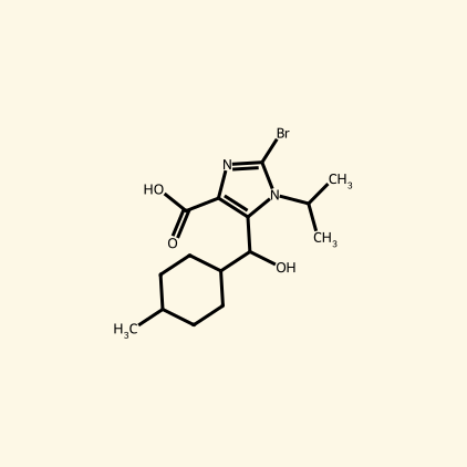 CC1CCC(C(O)c2c(C(=O)O)nc(Br)n2C(C)C)CC1